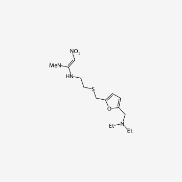 CCN(CC)Cc1ccc(CSCCNC(=C[N+](=O)[O-])NC)o1